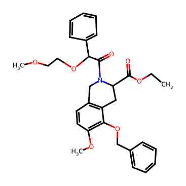 CCOC(=O)C1Cc2c(ccc(OC)c2OCc2ccccc2)CN1C(=O)C(OCCOC)c1ccccc1